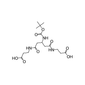 CC(C)(C)OC(=O)NC(CC(=O)NCCC(=O)O)CC(=O)NCCC(=O)O